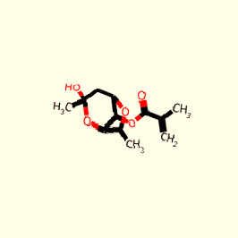 C=C(C)C(=O)OC1C2CC(C)(O)OC1C(C)O2